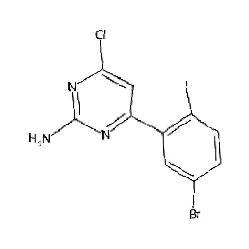 Cc1ccc(Br)cc1-c1cc(Cl)nc(N)n1